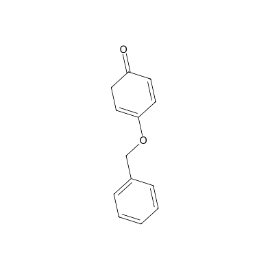 O=C1C=CC(OCc2ccccc2)=CC1